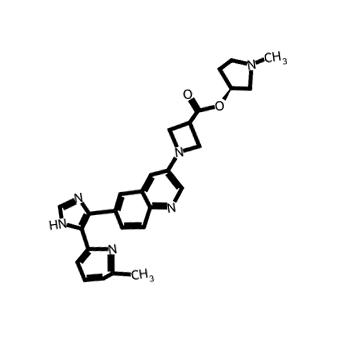 Cc1cccc(-c2[nH]cnc2-c2ccc3ncc(N4CC(C(=O)O[C@H]5CCN(C)C5)C4)cc3c2)n1